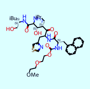 CC[C@H](C)[C@@H](CO)NC(=O)C(N)[C@@H](O)[C@H](CC(C)C)C(=O)C(Cc1cscn1)NC(=O)[C@H](Cc1cccc2ccccc12)NC(=O)OCCOCCOC